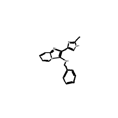 Cc1nc(-c2nc3ccccn3c2NCc2ccccc2)c[nH]1